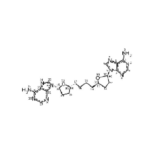 Nc1ncnc2c1ncn2[C@H]1CC[C@@H](CCCC[C@@H]2CC[C@H](n3cnc4c(N)ncnc43)O2)O1